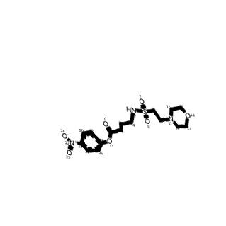 O=C(CCCNS(=O)(=O)CCN1CCOCC1)Oc1ccc([N+](=O)[O-])cc1